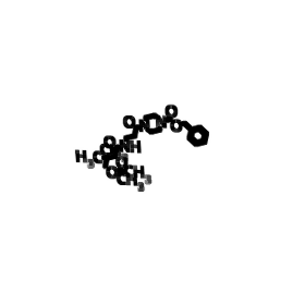 CC1(C)OCC(C)(C)C(C(=O)NCCC(=O)N2CCN(C(=O)OCc3ccccc3)CC2)O1